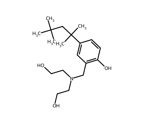 CC(C)(C)CC(C)(C)c1ccc(O)c(CN(CCO)CCO)c1